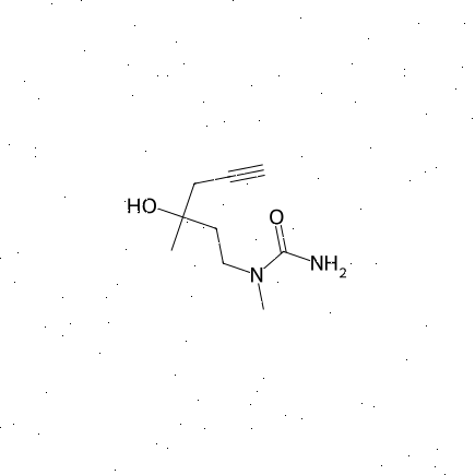 C#CCC(C)(O)CCN(C)C(N)=O